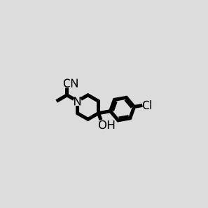 CC(C#N)N1CCC(O)(c2ccc(Cl)cc2)CC1